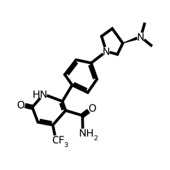 CN(C)[C@@H]1CCN(c2ccc(-c3[nH]c(=O)cc(C(F)(F)F)c3C(N)=O)cc2)C1